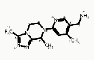 Cc1cc(N2CCn3c(nnc3C(F)(F)F)C2C)ncc1CN